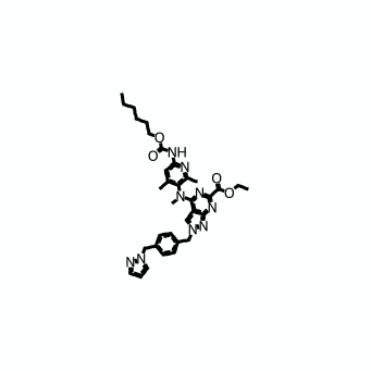 CCCCCCOC(=O)Nc1cc(C)c(N(C)c2nc(C(=O)OCC)nc3nn(Cc4ccc(Cn5cccn5)cc4)cc23)c(C)n1